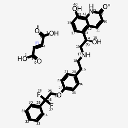 O=C(O)/C=C/C(=O)O.O=c1ccc2c([C@@H](O)CNCCc3ccc(OCC(F)(F)c4ccccc4)cc3)ccc(O)c2[nH]1